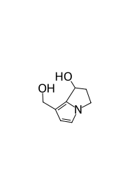 OCc1ccn2c1C(O)CC2